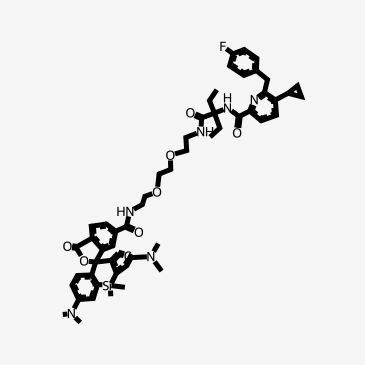 CCC(CC)(NC(=O)c1ccc(C2CC2)c(Cc2ccc(F)cc2)n1)C(=O)NCCOCCOCCNC(=O)c1ccc2c(c1)C1(OC2=O)c2ccc(N(C)C)cc2[Si](C)(C)c2cc(N(C)C)ccc21